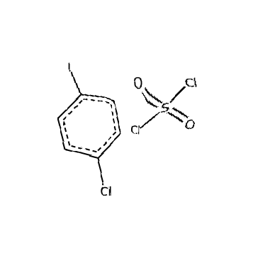 Clc1ccc(I)cc1.O=S(=O)(Cl)Cl